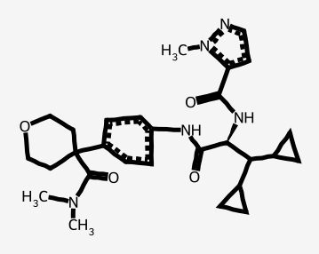 CN(C)C(=O)C1(c2ccc(NC(=O)[C@@H](NC(=O)c3ccnn3C)C(C3CC3)C3CC3)cc2)CCOCC1